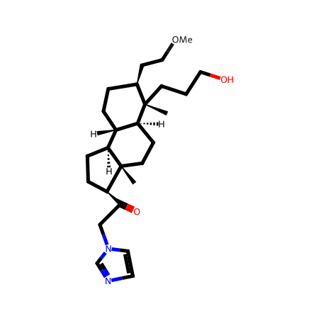 COCC[C@@H]1CC[C@@H]2[C@H](CC[C@]3(C)[C@@H](C(=O)Cn4ccnc4)CC[C@@H]23)[C@@]1(C)CCCO